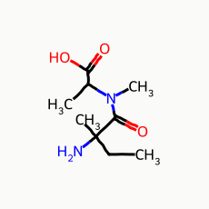 CCC(C)(N)C(=O)N(C)C(C)C(=O)O